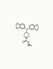 CC(C)(C)OC(=O)N1CCC(C(c2ccc3c(c2)OCO3)c2ccc3c(c2)OCO3)CC1